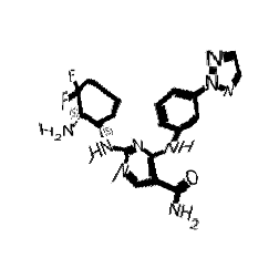 NC(=O)c1cnc(N[C@H]2CCCC(F)(F)[C@H]2N)nc1Nc1cccc(-n2nccn2)c1